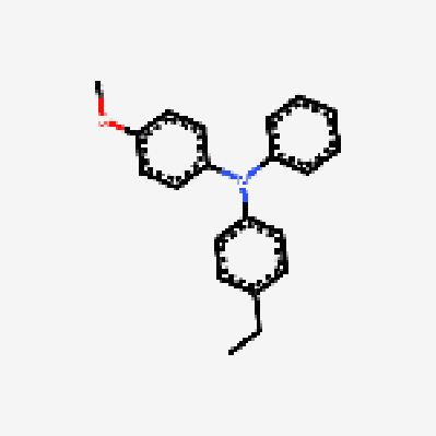 CCc1ccc(N(c2ccccc2)c2ccc(OC)cc2)cc1